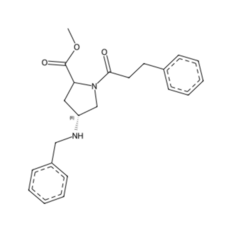 COC(=O)C1C[C@@H](NCc2ccccc2)CN1C(=O)CCc1ccccc1